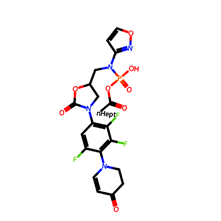 CCCCCCCC(=O)OP(=O)(O)N(CC1CN(c2cc(F)c(N3C=CC(=O)CC3)c(F)c2F)C(=O)O1)c1ccon1